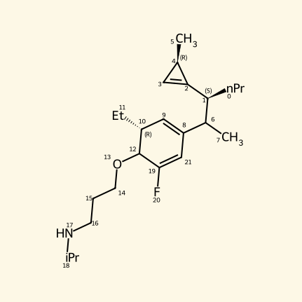 CCC[C@H](C1=C[C@H]1C)C(C)C1=C[C@@H](CC)C(OCCCNC(C)C)C(F)=C1